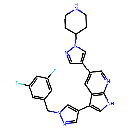 Fc1cc(F)cc(Cn2cc(-c3c[nH]c4ncc(-c5cnn(C6CCNCC6)c5)cc34)cn2)c1